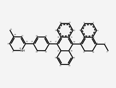 CCC1=c2ccccc2=C(C2=c3ccccc3=C(C3=CC=C(C4=CC(C)=CCN4)CC3)C3C=CC=CC23)CC1